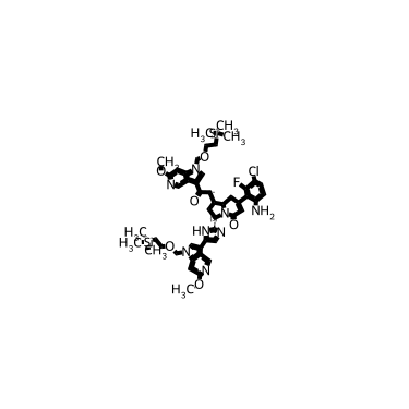 COc1cc2c(cn1)c(C(=O)[CH]C1C[C@@H](c3ncc(-c4cn(COCC[Si](C)(C)C)c5cc(OC)ncc45)[nH]3)N3C(=O)C=C(c4c(N)ccc(Cl)c4F)CC13)cn2COCC[Si](C)(C)C